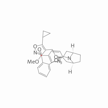 COC(=O)c1ccc(N2[C@@H]3CC[C@H]2C[C@@H](OCc2c(-c4ccccc4C(F)(F)F)noc2C2CC2)C3)nc1